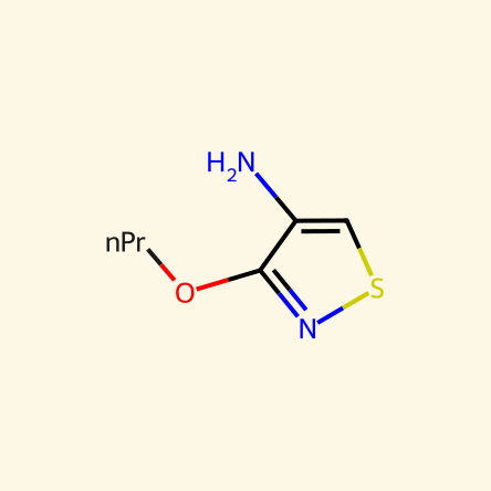 CCCOc1nscc1N